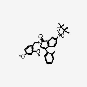 COc1ccc(Cn2cc(-c3ccccc3C)c3ccc(B4OC(C)(C)C(C)(C)O4)cc3c2=O)c(OC)c1